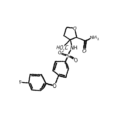 NC(=O)C1OCCC1(NS(=O)(=O)c1ccc(Oc2ccc(F)cc2)cc1)C(=O)O